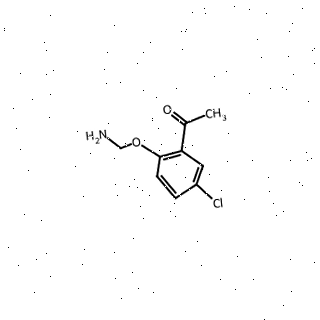 CC(=O)c1cc(Cl)ccc1OCN